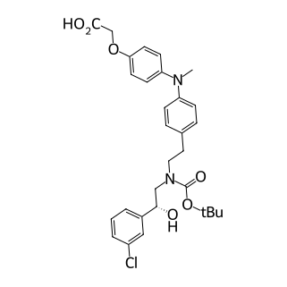 CN(c1ccc(CCN(C[C@H](O)c2cccc(Cl)c2)C(=O)OC(C)(C)C)cc1)c1ccc(OCC(=O)O)cc1